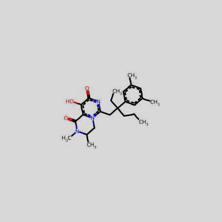 CCCC(CC)(Cc1nc(=O)c(O)c2n1CC(C)N(C)C2=O)c1cc(C)cc(C)c1